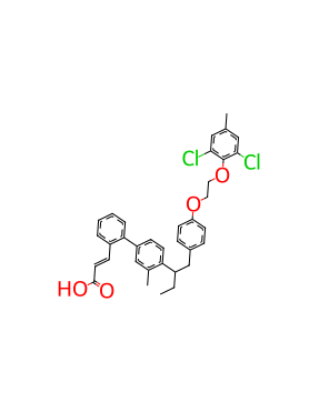 CCC(Cc1ccc(OCCOc2c(Cl)cc(C)cc2Cl)cc1)c1ccc(-c2ccccc2/C=C/C(=O)O)cc1C